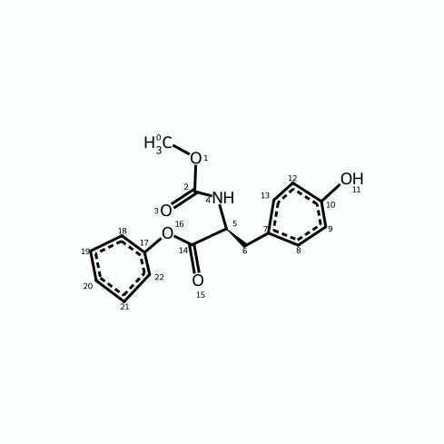 COC(=O)N[C@@H](Cc1ccc(O)cc1)C(=O)Oc1ccccc1